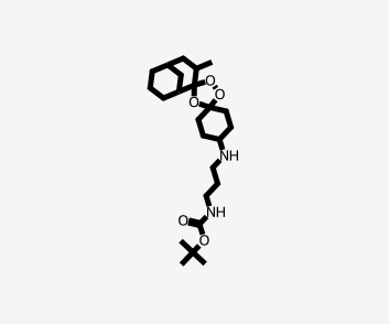 CC1CC2CCCC(C2)C12OOC1(CCC(NCCCNC(=O)OC(C)(C)C)CC1)O2